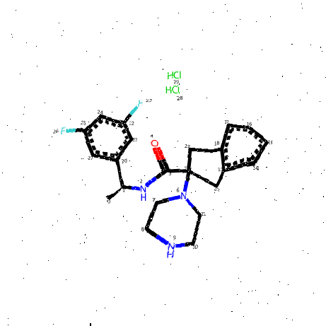 C[C@H](NC(=O)C1(N2CCNCC2)Cc2ccccc2C1)c1cc(F)cc(F)c1.Cl.Cl